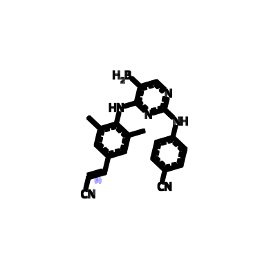 Bc1cnc(Nc2ccc(C#N)cc2)nc1Nc1c(C)cc(/C=C/C#N)cc1C